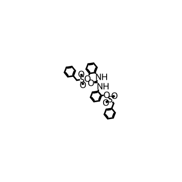 O=C(Nc1ccccc1OS(=O)(=O)Cc1ccccc1)Nc1ccccc1OS(=O)(=O)Cc1ccccc1